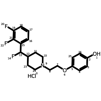 Cl.Oc1ccc(OCCN2CCC(C(F)c3cccc(F)c3F)CC2)cc1